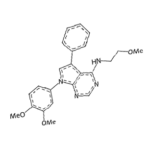 COCCNc1ncnc2c1c(-c1ccccc1)cn2-c1ccc(OC)c(OC)c1